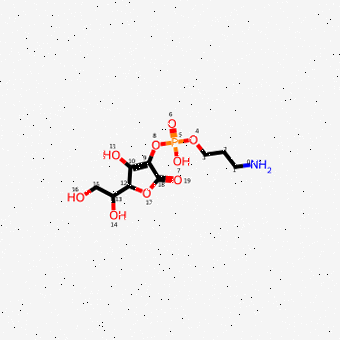 NCCCOP(=O)(O)OC1=C(O)C(C(O)CO)OC1=O